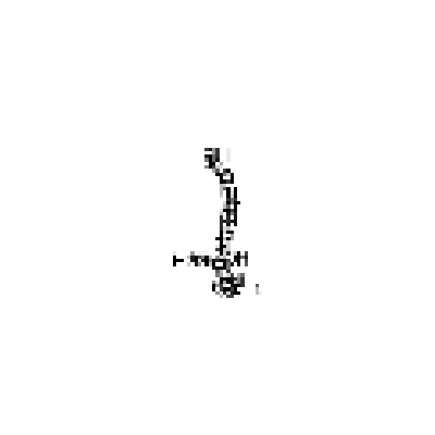 Cc1cc(N=Nc2cc(C)c(N=Nc3c(SOOO)cc4cc(S(=O)(=O)O)c(N)cc4c3O)cc2C)c(C)cc1N=Nc1cccc(SOOO)c1